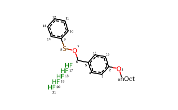 CCCCCCCCOc1ccc(COSc2ccccc2)cc1.F.F.F.F.F